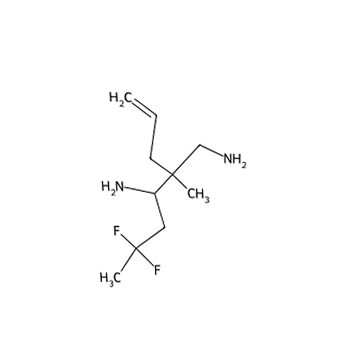 C=CCC(C)(CN)C(N)CC(C)(F)F